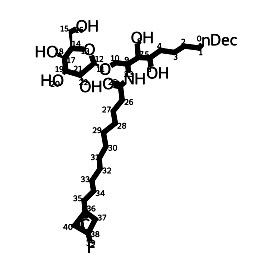 CCCCCCCCCCCCCCC(O)C(O)C(CO[C@H]1O[C@H](CO)[C@H](O)[C@H](O)[C@H]1O)NC(=O)CCCCCCCCCCC12CC(F)(C1)C2